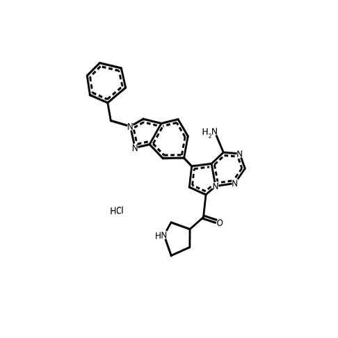 Cl.Nc1ncnn2c(C(=O)C3CCNC3)cc(-c3ccc4cn(Cc5ccccc5)nc4c3)c12